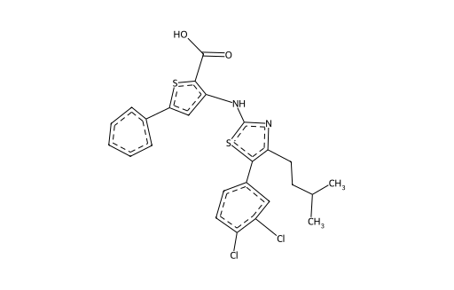 CC(C)CCc1nc(Nc2cc(-c3ccccc3)sc2C(=O)O)sc1-c1ccc(Cl)c(Cl)c1